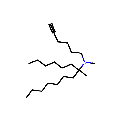 C#CCCCCN(C)C(C)(CCCCCC)CCCCCCC